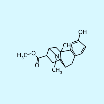 COC(=O)C1CC2C3Cc4ccc(O)cc4C2(C)CC1N3C